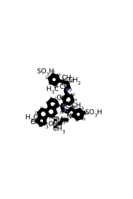 C=C(/C=C/C1=C(OC2=CCC3C(=C2)CCC2C3CCC3(C)C(=O)CCC23)C(=C/C=C2/N(CCC[N+](C)(C)C)c3ccc(S(=O)(=O)O)cc3C2(C)C)/CCC1)C(C)(C)c1cc(S(=O)(=O)O)ccc1C